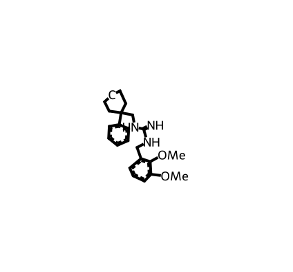 COc1cccc(CNC(=N)NCC2(c3ccccc3)CCCCC2)c1OC